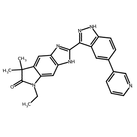 CCN1C(=O)C(C)(C)c2cc3nc(-c4n[nH]c5ccc(-c6cccnc6)cc45)[nH]c3cc21